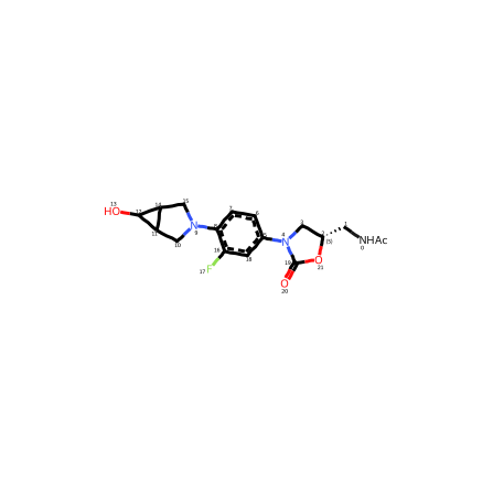 CC(=O)NC[C@H]1CN(c2ccc(N3CC4C(O)C4C3)c(F)c2)C(=O)O1